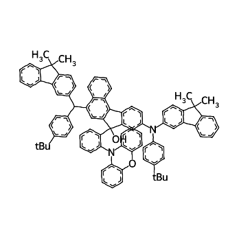 CC(C)(C)c1ccc(C(c2ccc3c(c2)-c2ccccc2C3(C)C)c2cc3c(c4ccccc24)-c2ccc(N(c4ccc(C(C)(C)C)cc4)c4ccc5c(c4)-c4ccccc4C5(C)C)cc2C3(O)c2ccccc2N2c3ccccc3Oc3ccccc32)cc1